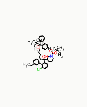 CCc1cccc(-c2c(Cl)cccc2C(O)(CCCCCO[Si](c2ccccc2)(c2ccccc2)C(C)(C)C)C2CCCN(C(=O)OC(C)(C)C)C2)c1